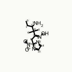 CCC(N)C(C)(C)C(CC1([N+](=O)[O-])N=CC=N1)=NO